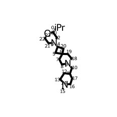 CC(C)[C@@H]1CN(C2CC3(CCN(CC4CCN(C)CC4)CC3)C2)CCO1